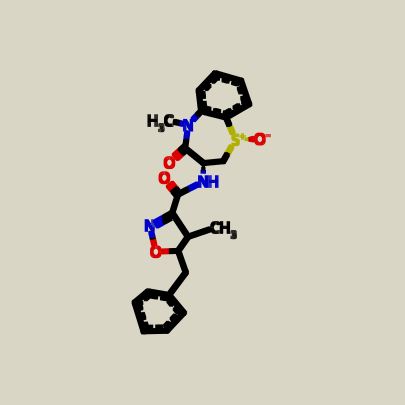 CC1C(C(=O)N[C@H]2C[S@+]([O-])c3ccccc3N(C)C2=O)=NOC1Cc1ccccc1